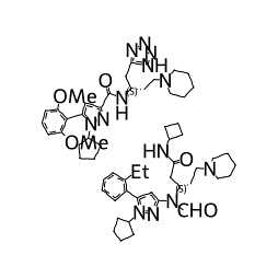 CCc1ccccc1-c1cc(N(C=O)[C@@H](CCN2CCCCC2)CC(=O)NC2CCC2)nn1C1CCCC1.COc1cccc(OC)c1-c1cc(C(=O)N[C@@H](CCN2CCCCC2)Cc2nnn[nH]2)nn1C1CCCC1